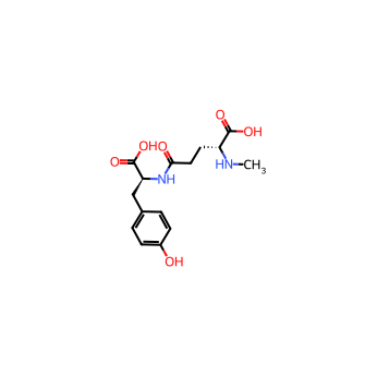 CN[C@H](CCC(=O)N[C@@H](Cc1ccc(O)cc1)C(=O)O)C(=O)O